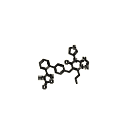 CCCc1c(Cc2ccc(-c3ccccc3-c3noc(=O)[nH]3)cc2)c(=O)n(-c2ccsc2)c2ncnn12